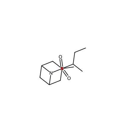 CCC(C)N1CC2CC(C1)N2S(C)(=O)=O